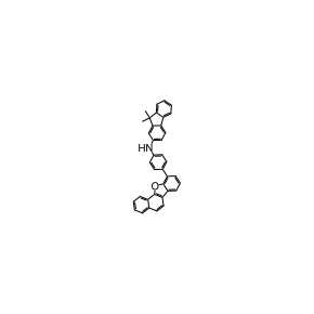 CC1(C)c2ccccc2-c2ccc(Nc3ccc(-c4cccc5c4oc4c6ccccc6ccc54)cc3)cc21